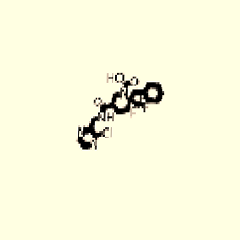 O=C(NCc1nccnc1Cl)C1CCC(Cc2ccccc2)(C(F)(F)F)N(C(=O)O)C1